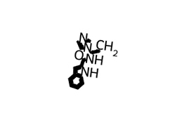 C=CC(NC(=O)c1cc2ccccc2[nH]1)n1ccnc1